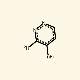 [2H]c1nnccc1CCC